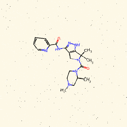 CC1CN(C)CCN1C(=O)N1Cc2c(NC(=O)c3ccccn3)n[nH]c2C1(C)C